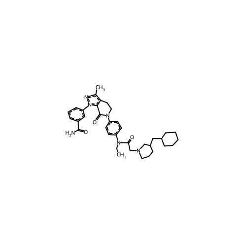 CCN(C(=O)CN1CCCC(CC2CCCCC2)C1)c1ccc(N2CCc3c(C)nn(-c4cccc(C(N)=O)c4)c3C2=O)cc1